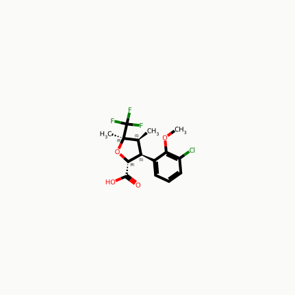 COc1c(Cl)cccc1[C@H]1[C@H](C(=O)O)O[C@@](C)(C(F)(F)F)[C@H]1C